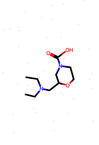 CCN(CC)CC1CN(C(=O)O)CCO1